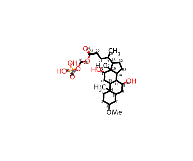 COC1CCC2(C)C(C1)CC(O)C1C2CC(O)C2(C)C(C(C)CCC(=O)OCOP(=O)(O)O)CCC12